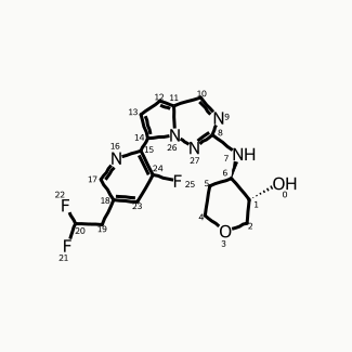 O[C@@H]1COCC[C@H]1Nc1ncc2ccc(-c3ncc(CC(F)F)cc3F)n2n1